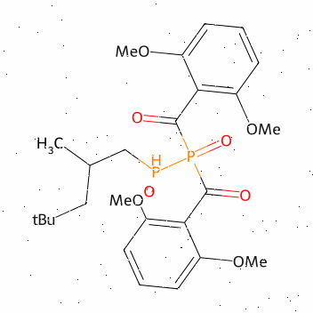 COc1cccc(OC)c1C(=O)P(=O)(C(=O)c1c(OC)cccc1OC)[PH](=O)CC(C)CC(C)(C)C